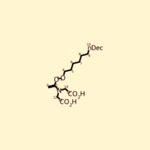 C=C(OOCCCCCCCCCCCCCCCC)N(CC(=O)O)CC(=O)O